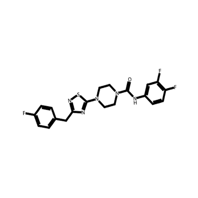 O=C(Nc1ccc(F)c(F)c1)N1CCN(c2nc(Cc3ccc(F)cc3)ns2)CC1